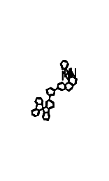 c1ccc(-n2nc3ccc4ccc5cc(-c6cccc(-c7ccc8c(c7)C7(c9ccccc9-c9ccccc97)c7ccccc7-8)c6)ccc5c4c3n2)cc1